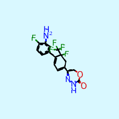 Nc1cc(C2=CC=C(C3=NNC(=O)OC3)CC2(F)C(F)(F)F)ccc1F